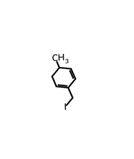 CC1C=CC(CI)=CC1